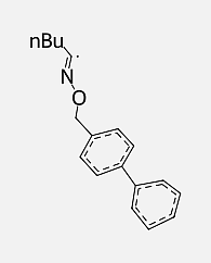 CCCC/[C]=N/OCc1ccc(-c2ccccc2)cc1